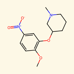 COc1ccc([N+](=O)[O-])cc1OC1CCCN(C)C1